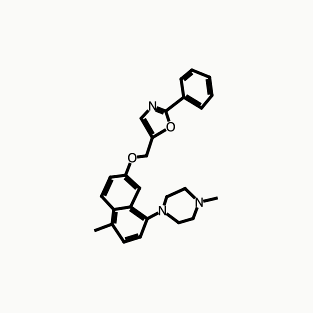 Cc1ccc(N2CCN(C)CC2)c2cc(OCc3cnc(-c4ccccc4)o3)ccc12